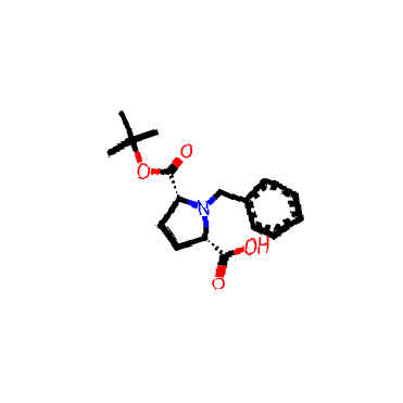 CC(C)(C)OC(=O)[C@H]1CC[C@@H](C(=O)O)N1Cc1ccccc1